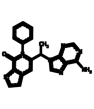 CC(c1cc2ccsc2c(=O)n1-c1ccccc1)n1cnc2c(N)ncnc21